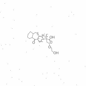 CC(CCOCCO)(C(=O)O)c1ccc2c(c1)SCC1CCCCC1C2=O